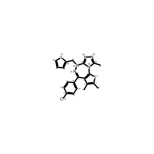 Cc1sc2c(c1C)C(c1ccc(Cl)cc1)=NN(Cc1cccs1)c1nnc(C)n1-2